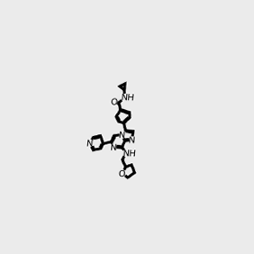 O=C(NC1CC1)c1ccc(-c2cnc3c(NCC4CCCO4)nc(-c4ccncc4)cn23)cc1